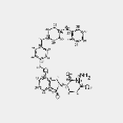 NN1C(=O)CCC(N2Cc3c(OCc4ccc(CN5CCN(Sc6ccccc6)CC5)cc4)cccc3C2=O)C1=O